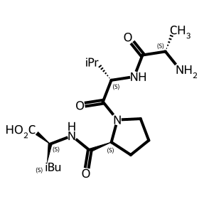 CC[C@H](C)[C@H](NC(=O)[C@@H]1CCCN1C(=O)[C@@H](NC(=O)[C@H](C)N)C(C)C)C(=O)O